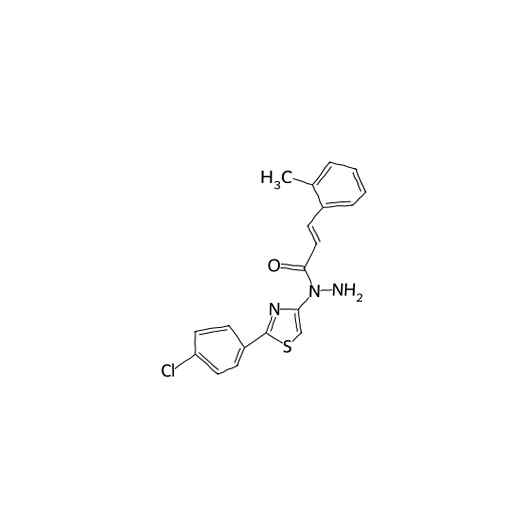 Cc1ccccc1C=CC(=O)N(N)c1csc(-c2ccc(Cl)cc2)n1